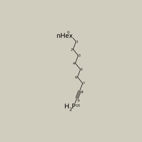 CCCCCCCCCCCCCC#CP